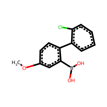 COc1ccc(-c2ccccc2Cl)c(B(O)O)c1